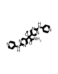 COC(C(N)=O)(c1cnc(Nc2ccncc2)nc1)c1cnc(Nc2ccncc2)nc1